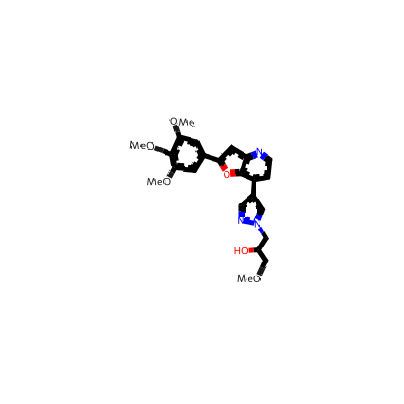 COCC(O)Cn1cc(-c2ccnc3cc(-c4cc(OC)c(OC)c(OC)c4)oc23)cn1